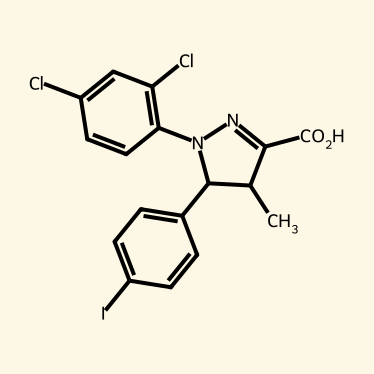 CC1C(C(=O)O)=NN(c2ccc(Cl)cc2Cl)C1c1ccc(I)cc1